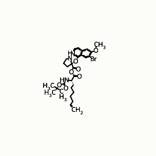 C=CCCCCC[C@H](NC(=O)OC(C)(C)C)C(=O)OC(=O)[C@]1(Oc2nccc3cc(OC)c(Br)cc23)CCCN1